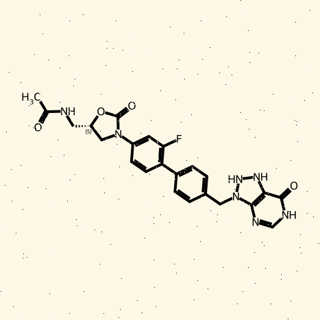 CC(=O)NC[C@H]1CN(c2ccc(-c3ccc(CN4NNc5c4nc[nH]c5=O)cc3)c(F)c2)C(=O)O1